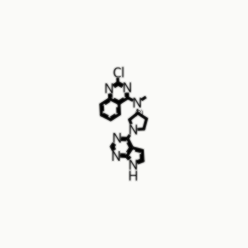 CN(c1nc(Cl)nc2ccccc12)[C@@H]1CCN(c2ncnc3[nH]ccc23)C1